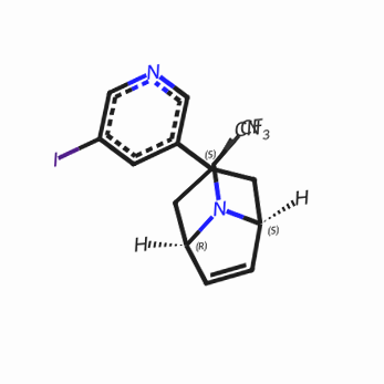 N#C[C@@]1(c2cncc(I)c2)C[C@H]2C=C[C@@H](C1)N2CC(F)(F)F